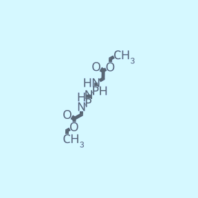 CCOC(=O)CNP=NPNCC(=O)OCC